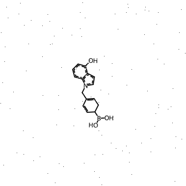 OB(O)C1C=CC(Cn2ccc3c(O)cccc32)=CC1